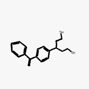 C=C(c1ccccc1)c1ccc(C(CCO)CCO)cc1